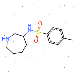 Cc1ccc(S(=O)(=O)NC2CCCCNC2)cc1